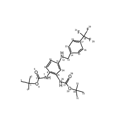 CC(C)(C)OC(=O)Nc1ccc(NCc2ccc(C(F)(F)F)cc2)cc1NC(=O)OC(C)(C)C